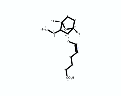 CCCCCCNC1[C@@H]2CC[C@@H](O2)[C@@H]1C/C=C\CCCC(=O)O